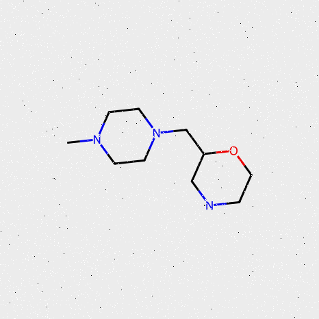 CN1CCN(CC2C[N]CCO2)CC1